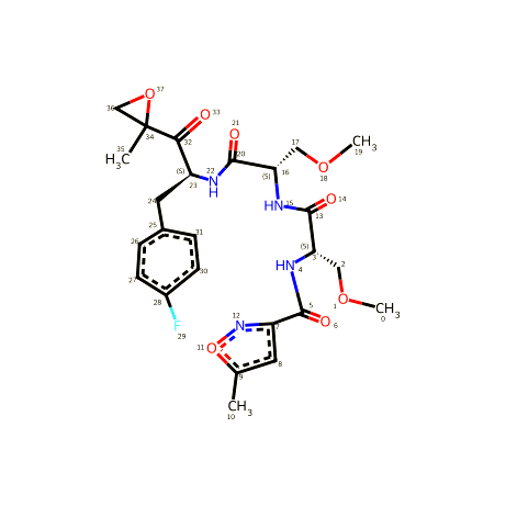 COC[C@H](NC(=O)c1cc(C)on1)C(=O)N[C@@H](COC)C(=O)N[C@@H](Cc1ccc(F)cc1)C(=O)C1(C)CO1